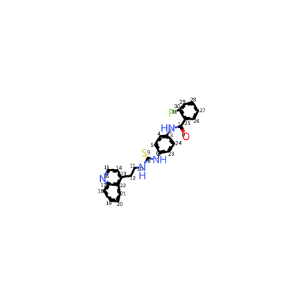 O=C(Nc1ccc(NC(=S)NCCc2ccnc3ccccc23)cc1)c1ccccc1F